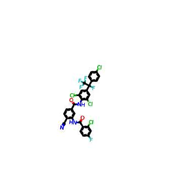 N#Cc1ccc(C(=O)Nc2c(Cl)cc(C(F)(c3ccc(Cl)cc3)C(F)(F)F)cc2Cl)cc1NC(=O)c1ccc(F)cc1Cl